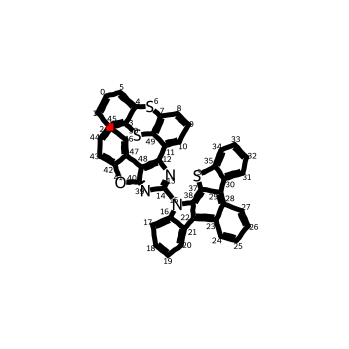 c1ccc2c(c1)Sc1cccc(-c3nc(-n4c5ccccc5c5c6ccccc6c6c7ccccc7sc6c54)nc4oc5ccccc5c34)c1S2